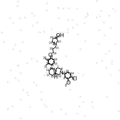 COc1cc(N2CCN3[C@@H](CCC[C@@H]3c3ccc(OCCCN4CC[C@@H](O)C4)c(C)c3C)C2)ccc1Cl